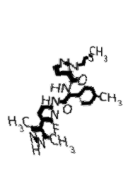 CSCCn1nccc1C(=O)N[C@H](C(=O)Nc1ccc(-c2c(C)n[nH]c2C)c(F)n1)[C@H]1CC[C@H](C)CC1